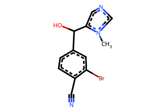 Cn1cncc1C(O)c1ccc(C#N)c(Br)c1